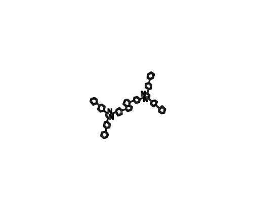 c1ccc(-c2ccc(-c3cc(-c4ccc(-c5ccccc5)cc4)nc(-c4ccc(-c5cccc6c(-c7ccc(-c8nc(-c9ccc(-c%10ccccc%10)cc9)cc(-c9ccc(-c%10ccccc%10)cc9)n8)cc7)cccc56)cc4)n3)cc2)cc1